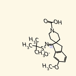 COc1ccc2c(c1)/C(=N\[S+]([O-])C(C)(C)C)C1(CCN(C(=O)O)CC1)C2